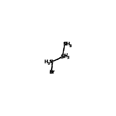 [SiH3][SiH2][SiH2]Br